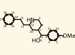 COc1ccc(C(O)C2CCNC(CCc3ccccc3)C2)cc1